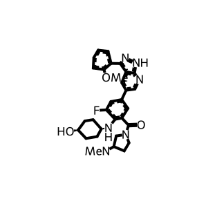 CNC1CCN(C(=O)c2cc(-c3cnc4[nH]nc(-c5ccccc5OC)c4c3)cc(F)c2N[C@H]2CC[C@H](O)CC2)C1